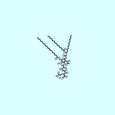 CCCCCCCCCCCCCCCCCC(=O)OC[C@H]1O[C@@H](SC(=O)C[C@@H](CCCCCCCCCCC)OC(=O)CCCCCCCCCCCCC)[C@H](NC(C)=O)[C@H](OC(C)C(=O)N[C@@H](C)C(=O)N[C@H](CCC(=O)OC)C(N)=O)[C@@H]1O